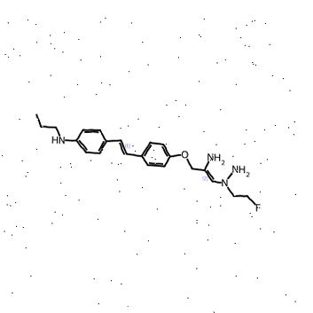 CCCNc1ccc(/C=C/c2ccc(OC/C(N)=C/N(N)CCF)cc2)cc1